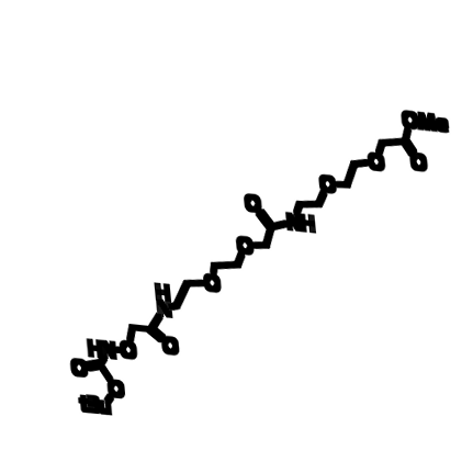 COC(=O)COCCOCCNC(=O)COCCOCCNC(=O)CONC(=O)OC(C)(C)C